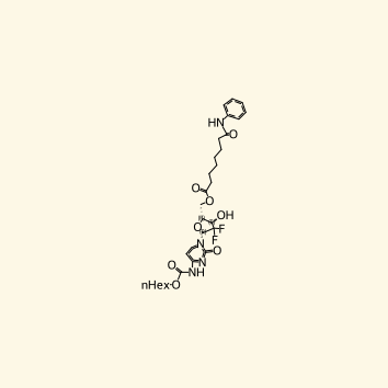 CCCCCCOC(=O)Nc1ccn([C@@H]2O[C@H](COC(=O)CCCCCCC(=O)Nc3ccccc3)[C@@H](O)C2(F)F)c(=O)n1